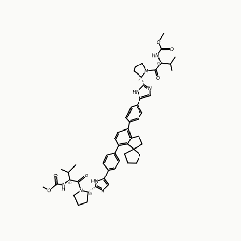 COC(=O)N[C@H](C(=O)N1CCC[C@H]1c1ncc(-c2ccc(-c3ccc(-c4ccc(-c5cnc([C@@H]6CCCN6C(=O)[C@@H](NC(=O)OC)C(C)C)[nH]5)cc4)c4c3CCC43CCCC3)cc2)[nH]1)C(C)C